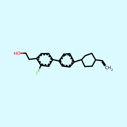 C=CC1CCC(c2ccc(-c3ccc(CCO)c(F)c3)cc2)CC1